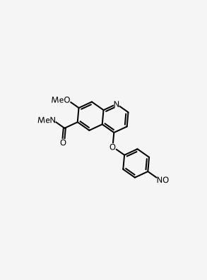 CNC(=O)c1cc2c(Oc3ccc(N=O)cc3)ccnc2cc1OC